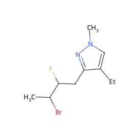 CCc1cn(C)nc1CC(F)C(C)Br